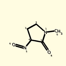 CN1CCC(N=O)C1=O